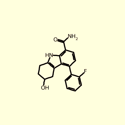 NC(=O)c1ccc(-c2ccccc2F)c2c3c([nH]c12)CCC(O)C3